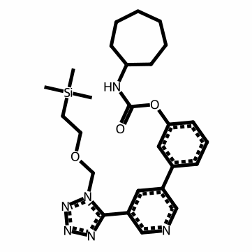 C[Si](C)(C)CCOCn1nnnc1-c1cncc(-c2cccc(OC(=O)NC3CCCCCC3)c2)c1